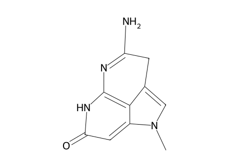 Cn1cc2c3c([nH]c(=O)cc31)N=C(N)C2